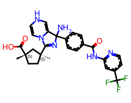 C[C@]1(C(=O)O)CC[C@](C)(C2=NC(N)(c3ccc(C(=O)Nc4cc(C(F)(F)F)ccn4)cc3)C3=CNC=CN32)C1